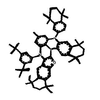 Cc1cc2c3c(c1)N(c1cc(C(C)(C)C)cc(C(C)(C)C)c1)c1c(oc4cc5c(cc14)C(C)(C)CCC5(C)C)B3c1cc3c(cc1N2c1ccc2c(c1)C(C)(C)CCC2(C)C)C(C)(C)CCC3(C)C